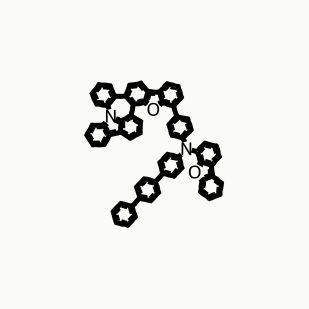 c1ccc(-c2ccc(-c3ccc(N(c4ccc(-c5cccc6c5oc5c7c(ccc56)-c5ccccc5-n5c6ccccc6c6cccc-7c65)cc4)c4cccc5c4oc4ccccc45)cc3)cc2)cc1